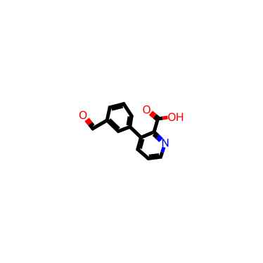 O=Cc1cccc(-c2cccnc2C(=O)O)c1